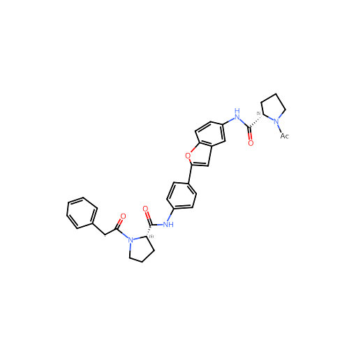 CC(=O)N1CCC[C@H]1C(=O)Nc1ccc2oc(-c3ccc(NC(=O)[C@@H]4CCCN4C(=O)[CH]c4ccccc4)cc3)cc2c1